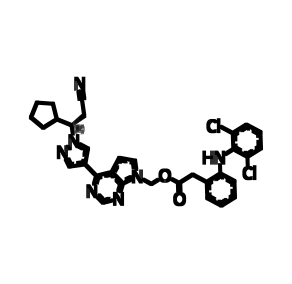 N#CC[C@H](C1CCCC1)n1cc(-c2ncnc3c2ccn3COC(=O)Cc2ccccc2Nc2c(Cl)cccc2Cl)cn1